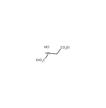 CCOC(=O)CNC(=O)OCC.Cl